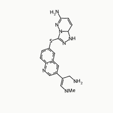 CN/C=C(\CN)c1cnc2ccc(SC3=NNC4C=CC(N)=NN34)cc2c1